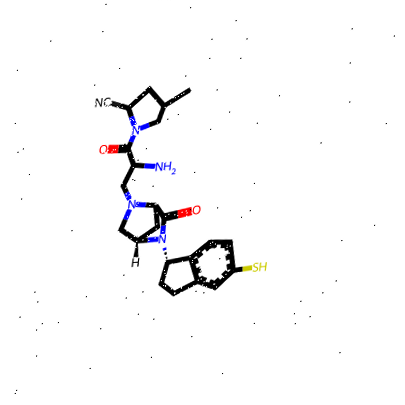 CC1CC(C#N)N(C(=O)C(N)CN2C[C@@H]3CC2C(=O)N3[C@H]2CCc3cc(S)ccc32)C1